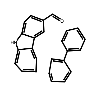 O=Cc1ccc2[nH]c3ccccc3c2c1.c1ccc(-c2ccccc2)cc1